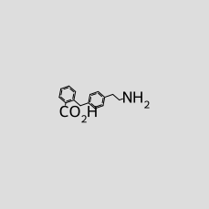 NCCc1ccc(Cc2ccccc2C(=O)O)cc1